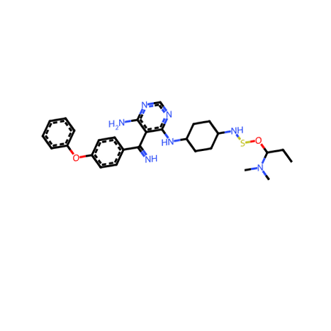 CCC(OSNC1CCC(Nc2ncnc(N)c2C(=N)c2ccc(Oc3ccccc3)cc2)CC1)N(C)C